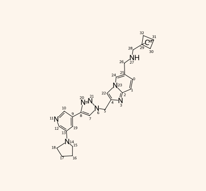 c1cc2nc(Cn3cc(-c4cncc(N5CCCC5)c4)nn3)cn2cc1CNCC12CC(C1)C2